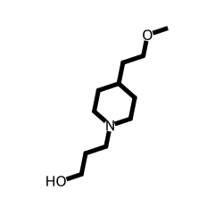 COCCC1CCN(CCCO)CC1